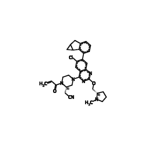 C=CC(=O)N1CCN(c2nc(OC[C@@H]3CCCN3C)nc3cc(-c4cccc5c4C4CC4C5)c(Cl)cc23)C[C@@H]1CC#N